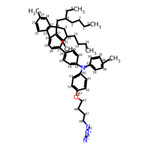 CCCCC(CC)CC1(CC(CC)CCCC)c2cc(C)ccc2-c2ccc(-c3ccc(N(c4ccc(C)cc4)c4ccc(OCCCCN=[N+]=[N-])cc4)cc3)cc21